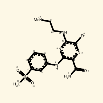 CCc1nc(C(N)=O)c(Nc2cccc(S(C)(=O)=O)c2)nc1NCCNC